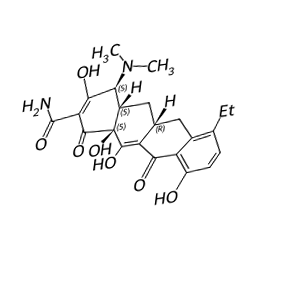 CCc1ccc(O)c2c1C[C@H]1C[C@H]3[C@H](N(C)C)C(O)=C(C(N)=O)C(=O)[C@@]3(O)C(O)=C1C2=O